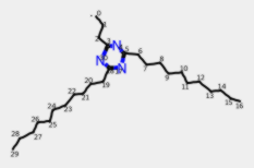 [CH2]CCc1nc(CCCCCCCCCCC)nc(CCCCCCCCCCC)n1